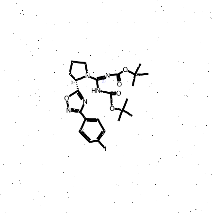 CC(C)(C)OC(=O)/N=C(\NC(=O)OC(C)(C)C)N1CCC[C@H]1c1nc(-c2ccc(I)cc2)no1